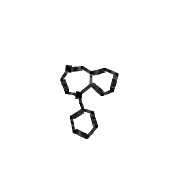 C1=CN(c2ccccc2)c2ccccc2C=N1